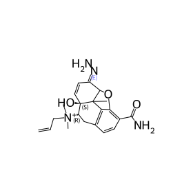 C=CC[N+](C)(C)[C@@H]1Cc2ccc(C(N)=O)c3c2C2(C)C(O3)/C(=N/N)C=C[C@@]12O